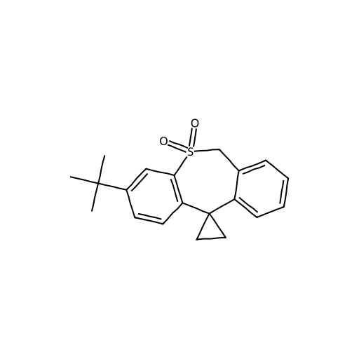 CC(C)(C)c1ccc2c(c1)S(=O)(=O)Cc1ccccc1C21CC1